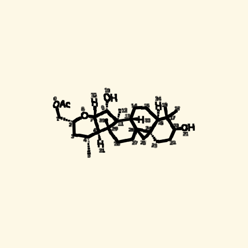 CC(=O)OC[C@H]1C[C@@H](C)[C@H]2[C@H](O1)[C@H](O)[C@@]1(C)[C@@H]3CC[C@H]4C(C)(C)[C@@H](O)CC[C@@]45C[C@@]35CC[C@]21C